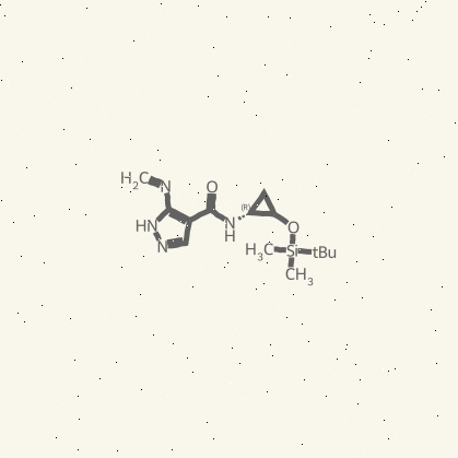 C=Nc1[nH]ncc1C(=O)N[C@@H]1CC1O[Si](C)(C)C(C)(C)C